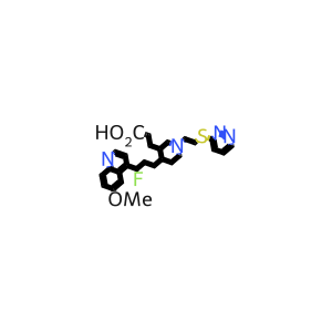 COc1ccc2nccc([C@@H](F)CCC3CCN(CCSc4cccnn4)CC3CCC(=O)O)c2c1